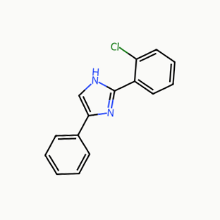 Clc1ccccc1-c1nc(-c2ccccc2)c[nH]1